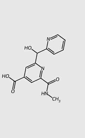 CNC(=O)c1cc(C(=O)O)cc(C(O)c2ccccn2)n1